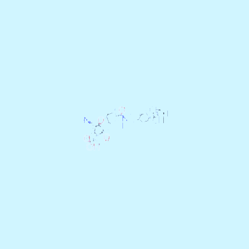 CC(C)(C)c1ccc(CCNC(=O)C2C=CC(Oc3cc4c(cc3C#N)C(C(=O)O)CCO4)=CC2)cc1